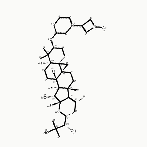 CC(=O)N1CC(N2CCOC(O[C@H]3CC[C@]45C[C@]46CC[C@]4(C)C7[C@H](C)C[C@H]([C@H](O)C(C)(C)O)O[C@@H]7[C@H](O)[C@@]4(C)[C@@H]6CC[C@H]5C3(C)C)C2)C1